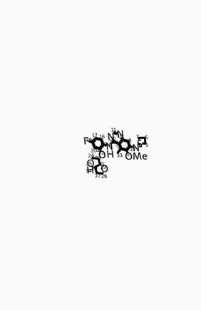 COc1c(N=S2CCC2)cc2ncnc(Nc3ccc(F)cc3OC3CO[C@@H]4CCOC34)c2c1C